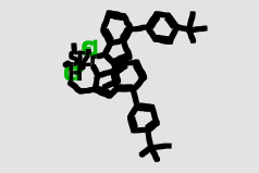 CCC1=Cc2c(-c3ccc(C(C)(C)C)cc3)cccc2[CH]1[Zr]([Cl])([Cl])([CH]1C(CC)=Cc2c(-c3ccc(C(C)(C)C)cc3)cccc21)[SiH](C)C